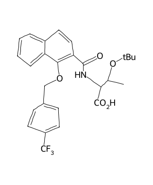 CC(OC(C)(C)C)C(NC(=O)c1ccc2ccccc2c1OCc1ccc(C(F)(F)F)cc1)C(=O)O